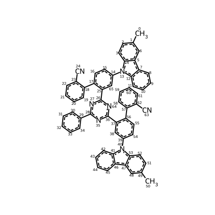 Cc1ccc2c(c1)c1ccccc1n2-c1ccc(-c2ccccc2C#N)c(-c2nc(-c3ccccc3)nc(-c3cc(-n4c5ccccc5c5cc(C)ccc54)ccc3-c3ccccc3C#N)n2)c1